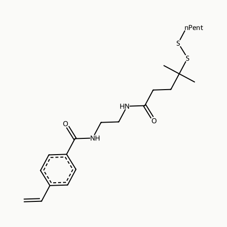 C=Cc1ccc(C(=O)NCCNC(=O)CCC(C)(C)SSCCCCC)cc1